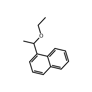 CCOC(C)c1cccc2ccccc12